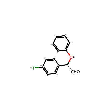 O=C[C@@H](Oc1ccccc1)c1ccc(F)cc1